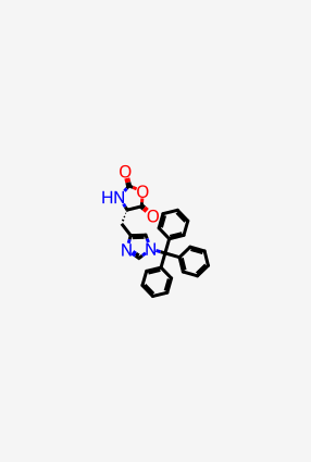 O=C1N[C@@H](Cc2cn(C(c3ccccc3)(c3ccccc3)c3ccccc3)cn2)C(=O)O1